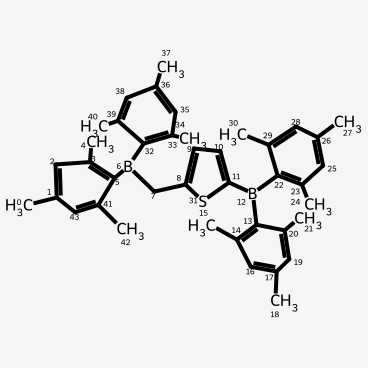 Cc1cc(C)c(B(Cc2ccc(B(c3c(C)cc(C)cc3C)c3c(C)cc(C)cc3C)s2)c2c(C)cc(C)cc2C)c(C)c1